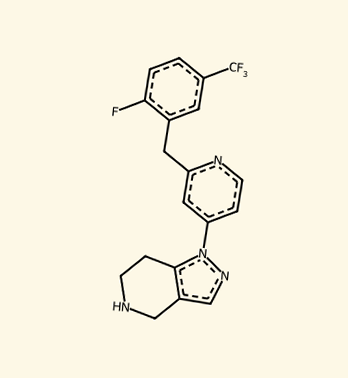 Fc1ccc(C(F)(F)F)cc1Cc1cc(-n2ncc3c2CCNC3)ccn1